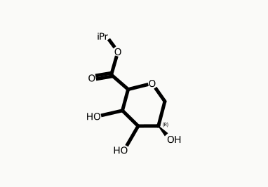 CC(C)OC(=O)C1OC[C@@H](O)C(O)C1O